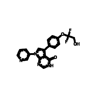 O=c1[nH]cnc2c1c(-c1ccc(OC(F)(F)CO)cc1)cn2-c1cccnc1